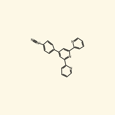 N#[N+]c1ccc(-c2cc(-c3ccccn3)nc(-c3ccccn3)c2)cc1